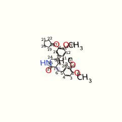 COc1ccc(/C=C2\C[C@@H](c3ccc(OC)c(OC4CCCC4)c3)CNC2=O)cc1OC